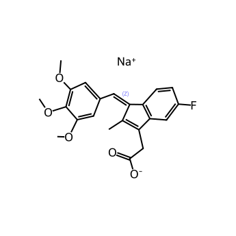 COc1cc(/C=C2\C(C)=C(CC(=O)[O-])c3cc(F)ccc32)cc(OC)c1OC.[Na+]